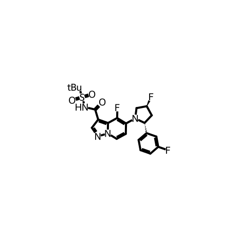 CC(C)(C)S(=O)(=O)NC(=O)c1cnn2ccc(N3C[C@@H](F)C[C@@H]3c3cccc(F)c3)c(F)c12